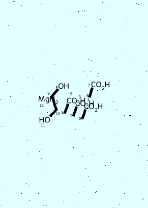 CC(=O)O.CC(=O)O.CC(=O)O.CC(=O)O.OCCO.[MgH2]